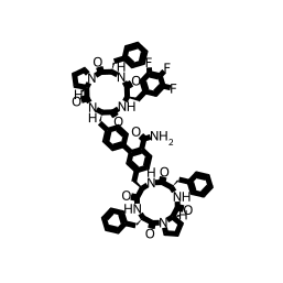 NC(=O)c1ccc(C[C@H]2NC(=O)[C@H](Cc3ccccc3)NC(=O)[C@H]3CCCN3C(=O)[C@H](Cc3ccccc3)NC2=O)cc1-c1ccc(C[C@@H]2NC(=O)[C@H]3CCCN3C(=O)[C@H](Cc3ccccc3)NC(=O)[C@@H](Cc3cc(F)c(F)c(F)c3)NC2=O)cc1